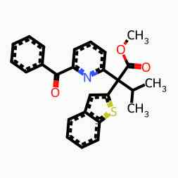 COC(=O)C(c1cccc(C(=O)c2ccccc2)n1)(c1cc2ccccc2s1)C(C)C